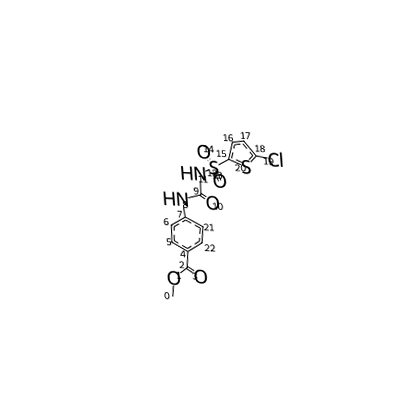 COC(=O)c1ccc(NC(=O)NS(=O)(=O)c2ccc(Cl)s2)cc1